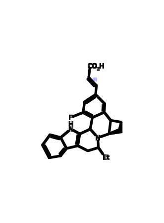 CCC1Cc2c([nH]c3ccccc23)C2c3c(F)cc(/C=C/C(=O)O)cc3C3C4CC3(C4)N12